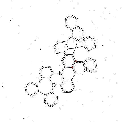 c1ccc(-c2ccccc2N(c2ccc3c(c2)-c2ccccc2-c2ccccc2C32c3ccccc3-c3c2ccc2ccccc32)c2cccc3c2Oc2ccccc2-c2ccccc2-3)cc1